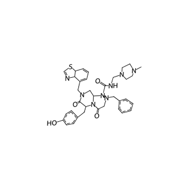 CN1CCN(CNC(=O)N2C3CN(CC4=CC=CC5SC=NC45)C(=O)C(Cc4ccc(O)cc4)N3C(=O)CN2Cc2ccccc2)CC1